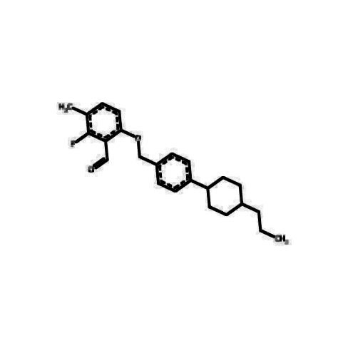 CCCC1CCC(c2ccc(COc3ccc(C)c(F)c3C=O)cc2)CC1